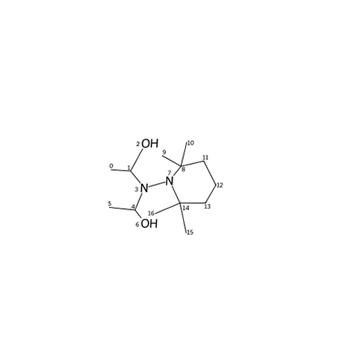 CC(O)N(C(C)O)N1C(C)(C)CCCC1(C)C